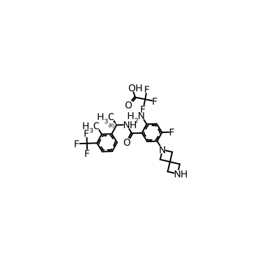 Cc1c([C@@H](C)NC(=O)c2cc(N3CC4(CNC4)C3)c(F)cc2N)cccc1C(F)(F)F.O=C(O)C(F)(F)F